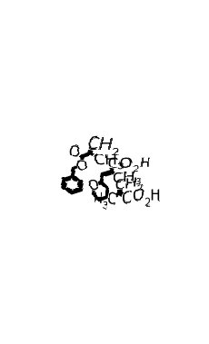 C=C(C)C(=O)O.C=C(C)C(=O)OCc1ccccc1.CC(=CC1CCCCO1)C(=O)O